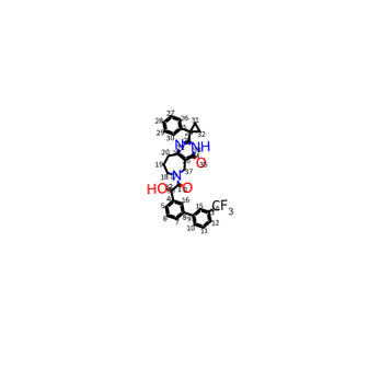 O=C([C@H](O)c1cccc(-c2cccc(C(F)(F)F)c2)c1)N1CCCc2nc(C3(c4ccccc4)CC3)[nH]c(=O)c2C1